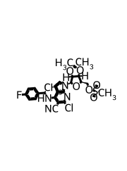 C[C@H](Nc1c(C#N)c(Cl)nc2c1ccn2[C@@H]1O[C@H](COS(C)(=O)=O)[C@H]2OC(C)(C)O[C@H]21)c1ccc(F)cc1